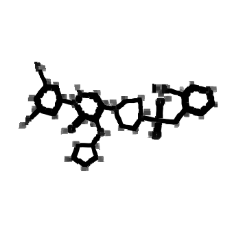 Nc1cnccc1CS(=O)(=O)N1CCN(c2cnn(-c3cc(F)cc(F)c3)c(=O)c2OC2CCCC2)CC1